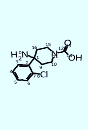 NC1(c2ccccc2Cl)CCN(C(=O)O)CC1